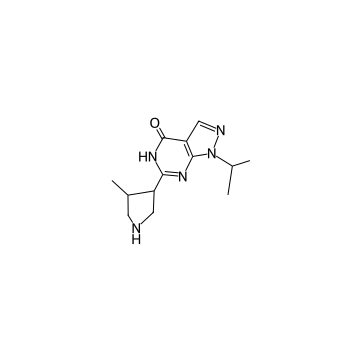 CC1CNCC1c1nc2c(cnn2C(C)C)c(=O)[nH]1